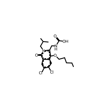 CCCCCOc1c(CNC(=O)O)n(CC(C)C)c(=O)c2cc(Cl)c(Cl)cc12